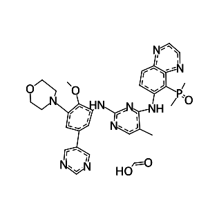 COc1c(Nc2ncc(C)c(Nc3ccc4nccnc4c3P(C)(C)=O)n2)cc(-c2cncnc2)cc1N1CCOCC1.O=CO